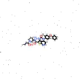 C/C=C/[C@@H](O)N1CCC[C@@H](NC(=O)c2sc3nccc4c3c2NC(=O)N4c2ccc(Oc3ccccc3)cc2C)C1